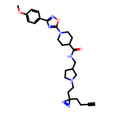 C#CCCC1(CCN2CCC(CNC(=O)C3CCN(c4nc(-c5ccc(OC)cc5)no4)CC3)C2)N=N1